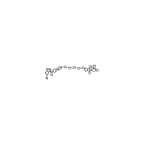 N#Cc1ccc2ncnc(Nc3ccc(N4CCN(CCOCCOCCOCCOCCOc5ccc6c(c5)C(=O)N(C5CCC(=O)NC5=O)C6=O)CC4)cc3)c2c1